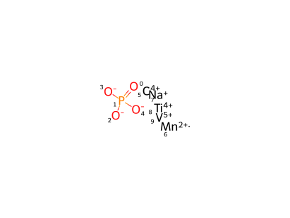 O=P([O-])([O-])[O-].[C+4].[Mn+2].[Na+].[Ti+4].[V+5]